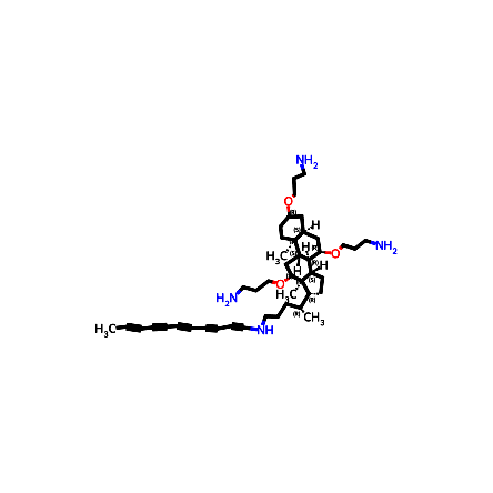 CC#CC#CC#CC#CC#CNCCC[C@@H](C)[C@H]1CC[C@H]2[C@@H]3[C@H](OCCCN)C[C@@H]4C[C@H](OCCCN)CC[C@]4(C)[C@H]3C[C@H](OCCCN)[C@]12C